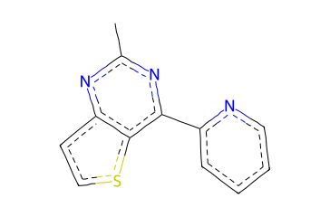 Cc1nc(-c2ccccn2)c2sccc2n1